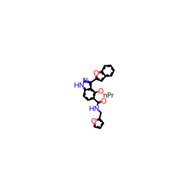 CCCOc1c(C(=O)NCc2ccco2)ccc2[nH]nc(-c3cc4ccccc4o3)c12